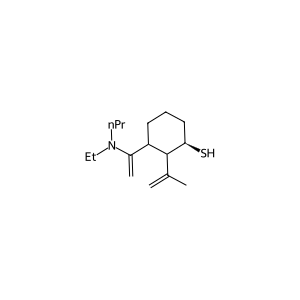 C=C(C)C1C(C(=C)N(CC)CCC)CCC[C@H]1S